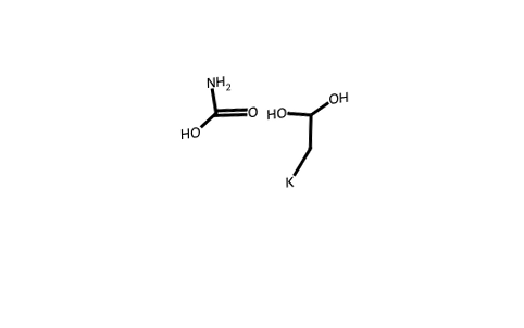 NC(=O)O.OC(O)[CH2][K]